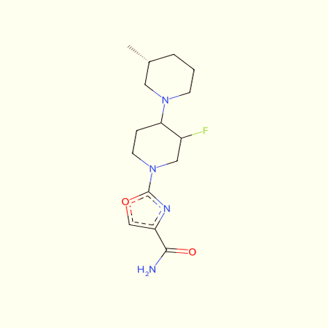 C[C@@H]1CCCN(C2CCN(c3nc(C(N)=O)co3)CC2F)C1